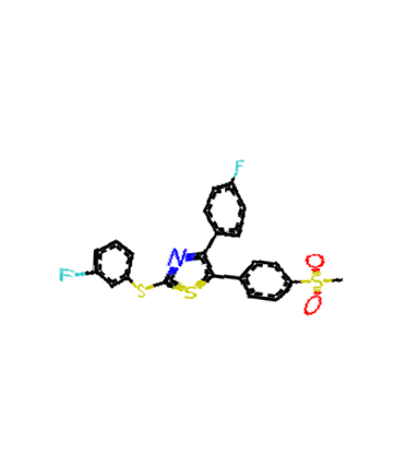 CS(=O)(=O)c1ccc(-c2sc(Sc3cccc(F)c3)nc2-c2ccc(F)cc2)cc1